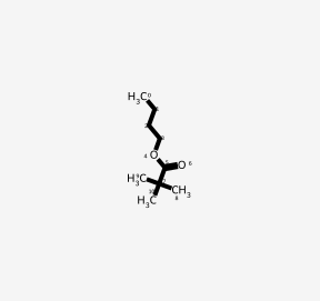 CCC[CH]OC(=O)C(C)(C)C